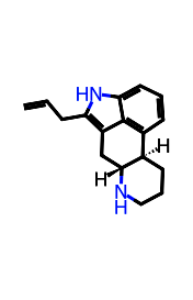 C=CCc1[nH]c2cccc3c2c1C[C@H]1NCCC[C@H]31